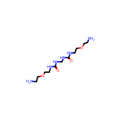 NCCOCCNC(=O)NCNC(=O)NCCOCCN